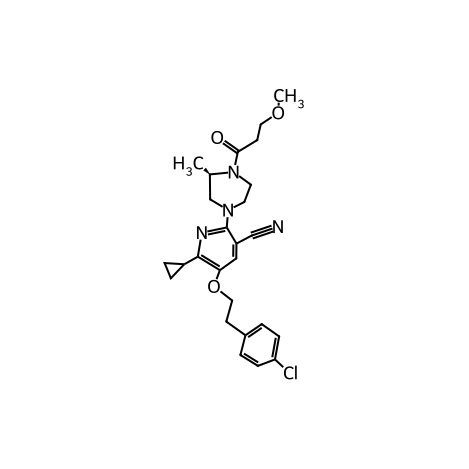 COCCC(=O)N1CCN(c2nc(C3CC3)c(OCCc3ccc(Cl)cc3)cc2C#N)C[C@H]1C